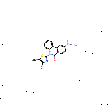 CCCCNc1ccc(C(=O)Nc2nc(Cl)c(N=O)s2)c(-c2ccccc2)c1